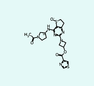 CC(=O)N1CC[C@H](Nc2nc(N3CC(OC(=O)c4cscn4)C3)nc3c2[S+]([O-])CC3)C1